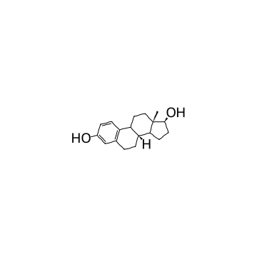 C[C@]12CCC3c4ccc(O)cc4CC[C@H]3C1CC[C@@H]2O